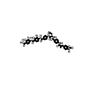 COc1c(NC(=O)c2ccc(NC(=O)c3ccc(NC(=O)[C@H](CC#N)NC(=O)c4ccc(NC(=O)/C(C)=C/c5ccc6[nH]c(=O)oc6c5)cc4)cc3)c(OC)c2O)ccc(C(=O)O)c1O